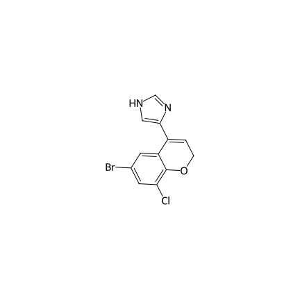 Clc1cc(Br)cc2c1OCC=C2c1c[nH]cn1